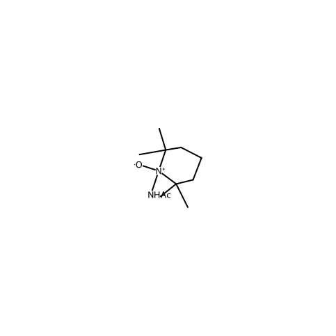 CC(=O)N[N+]1([O])C(C)(C)CCCC1(C)C